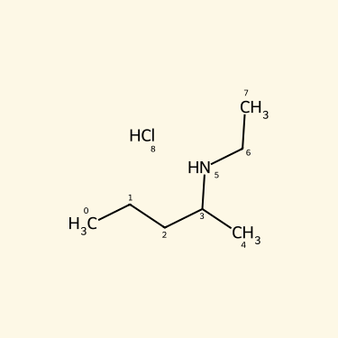 CCCC(C)NCC.Cl